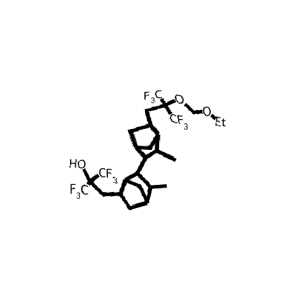 CCOCOC(CC1CC2CC1C(C)C2C1C(C)C2CC(CC(O)(C(F)(F)F)C(F)(F)F)C1C2)(C(F)(F)F)C(F)(F)F